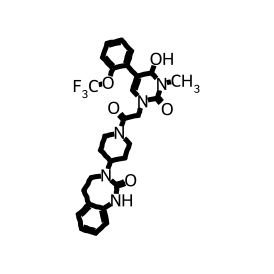 CN1C(=O)N(CC(=O)N2CCC(N3CCc4ccccc4NC3=O)CC2)C=C(c2ccccc2OC(F)(F)F)C1O